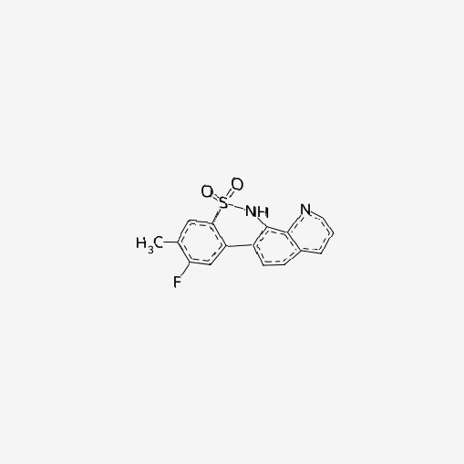 Cc1cc2c(cc1F)-c1ccc3cccnc3c1NS2(=O)=O